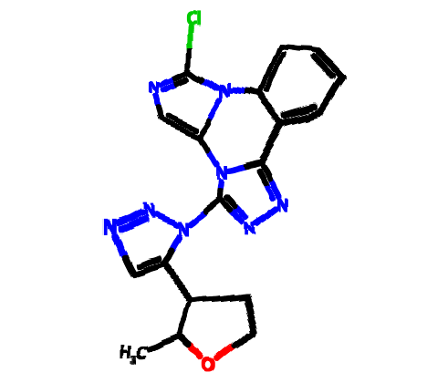 CC1OCCC1c1cnnn1-c1nnc2c3ccccc3n3c(Cl)ncc3n12